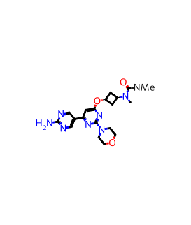 CNC(=O)N(C)[C@H]1C[C@H](Oc2cc(-c3cnc(N)nc3)nc(N3CCOCC3)n2)C1